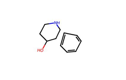 OC1CCNCC1.c1ccccc1